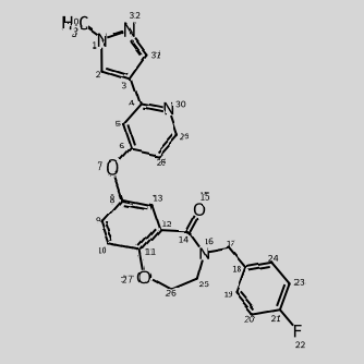 Cn1cc(-c2cc(Oc3ccc4c(c3)C(=O)N(Cc3ccc(F)cc3)CCO4)ccn2)cn1